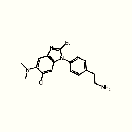 CCc1nc2cc(N(C)C)c(Cl)cc2n1-c1ccc(CCN)cc1